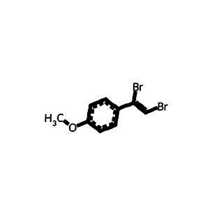 COc1ccc(C(Br)=CBr)cc1